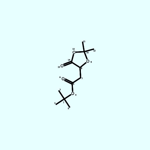 CC(C)(C)OC(=O)CC1OC(C)(C)OC1=O